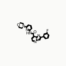 O=C(Nc1cccc(N2CCOCC2)n1)c1ccnn2cc(-c3cccc(F)c3)nc12